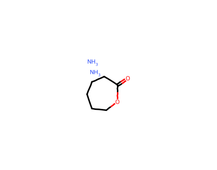 N.N.O=C1CCCCCO1